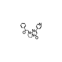 O=C(CN1CCCn2c1nc(-c1ccncc1)cc2=O)c1ccccc1